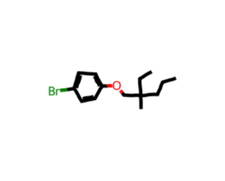 CCCC(C)(CC)COc1ccc(Br)cc1